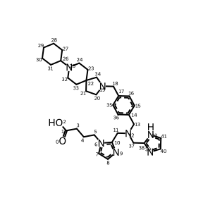 O=C(O)CCCn1ccnc1CN(Cc1ccc(CN2CCC3(CCN(C4CCCCC4)CC3)C2)cc1)Cc1ncc[nH]1